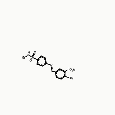 [CH2][CH]NS(=O)(=O)c1ccc(/N=N/c2ccc(O)c(C(=O)O)c2)cc1